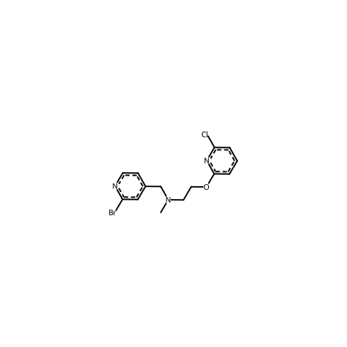 CN(CCOc1cccc(Cl)n1)Cc1ccnc(Br)c1